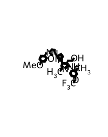 COc1ccc(CN2CCN(c3ccn(-c4cc(C)nc(Nc5ccc(OC(F)(F)F)cc5C)c4CCO)n3)C2=O)cc1